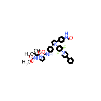 COC(=O)NC(C(=O)N1CCC[C@H]1C(=O)Nc1ccc([C@@H]2CCC(c3ccc(NC=O)cc3)N2c2cc(F)c(N3CCC(c4ccccc4)CC3)c(F)c2)cc1)C(C)C